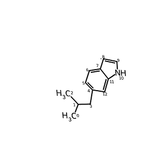 CC(C)Cc1ccc2[c]c[nH]c2c1